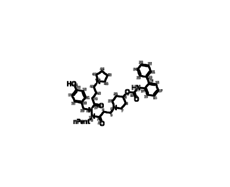 CCCCCN(C(=O)CCN1CCC(OC(=O)Nc2ccccc2-c2ccccc2)CC1)N(Cc1ccc(O)cc1)C(=O)CCCN1CCCC1